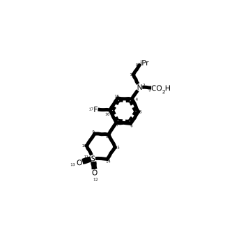 CC(C)CN(C(=O)O)c1ccc(C2CCS(=O)(=O)CC2)c(F)c1